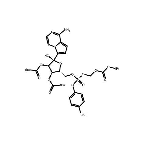 CC(C)OC(=O)OCO[P@](=O)(OC[C@H]1O[C@@](C#N)(c2ccc3c(N)ncnn23)[C@H](OC(=O)C(C)(C)C)[C@@H]1OC(=O)C(C)(C)C)Oc1ccc(C(C)(C)C)cc1